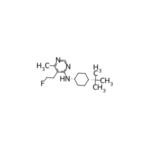 Cc1ncnc(N[C@H]2CC[C@@H](C(C)(C)C)CC2)c1CCF